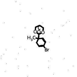 CC1(C23OCC(CO2)CO3)C=CC(Br)=CC1